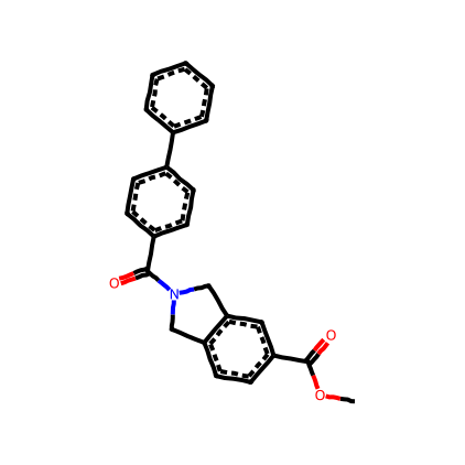 COC(=O)c1ccc2c(c1)CN(C(=O)c1ccc(-c3ccccc3)cc1)C2